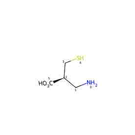 NC[C@H](CS)C(=O)O